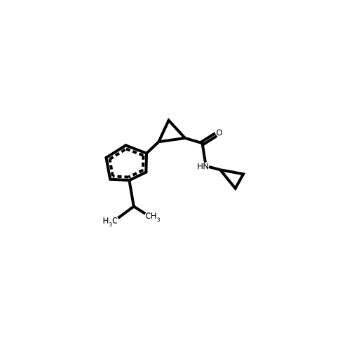 CC(C)c1cccc(C2CC2C(=O)NC2CC2)c1